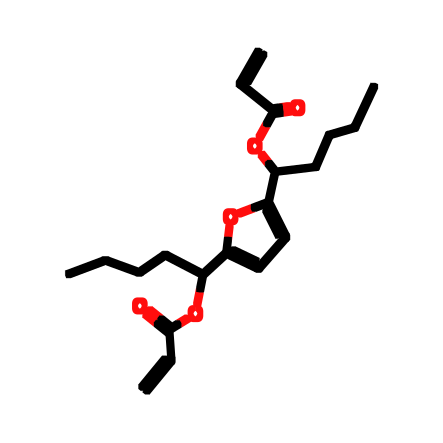 C=CC(=O)OC(CCCC)c1ccc(C(CCCC)OC(=O)C=C)o1